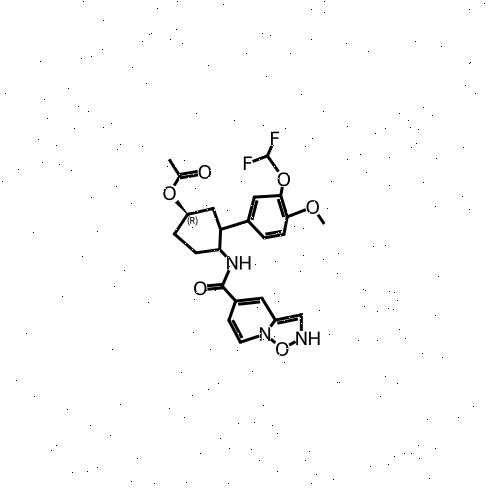 COc1ccc(C2C[C@H](OC(C)=O)CCC2NC(=O)C2=CC3=CNON3C=C2)cc1OC(F)F